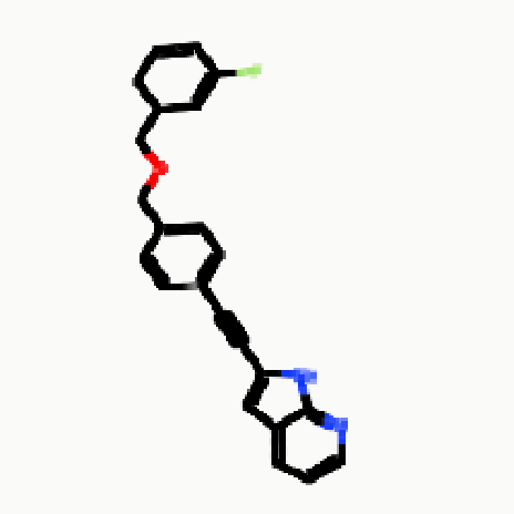 FC1=CC(COCc2ccc(C#Cc3cc4cccnc4[nH]3)cc2)CC=C1